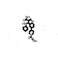 CC(C)(C)OC(=O)N1CC=C(c2ccc3ncc(C(N)=O)c(Nc4ccccc4)c3c2)CC1